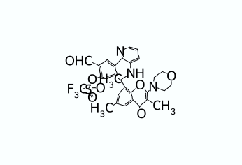 Cc1cc(C(C)Nc2cccnc2-c2ccc(OS(=O)(=O)C(F)(F)F)c(C=O)c2)c2oc(N3CCOCC3)c(C)c(=O)c2c1